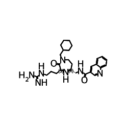 N=C(N)NCCC[C@@H]1N[C@@H](CNC(=O)c2cnc3ccccc3c2)CCN(CC2CCCCC2)C1=O